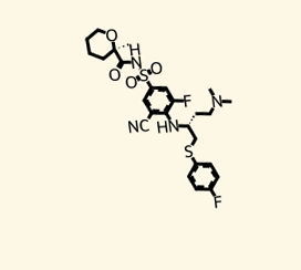 CN(C)CC[C@H](CSc1ccc(F)cc1)Nc1c(F)cc(S(=O)(=O)NC(=O)[C@@]2(C)CCCCO2)cc1C#N